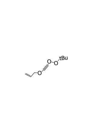 C=CCOC#COOC(C)(C)C